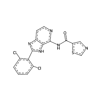 O=C(Nc1nccc2nc(-c3c(Cl)cccc3Cl)[nH]c12)c1cncs1